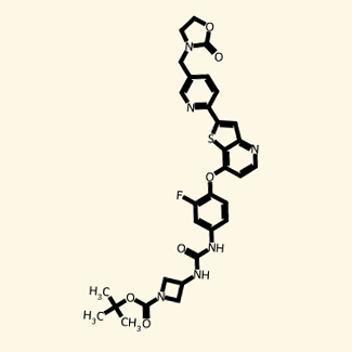 CC(C)(C)OC(=O)N1CC(NC(=O)Nc2ccc(Oc3ccnc4cc(-c5ccc(CN6CCOC6=O)cn5)sc34)c(F)c2)C1